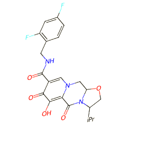 CC(C)C1COC2Cn3cc(C(=O)NCc4ccc(F)cc4F)c(=O)c(O)c3C(=O)N21